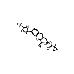 CC1(C(=O)OCCN(Cc2ccc(-c3noc(C(F)(F)F)n3)cc2)C(=O)C2(C#N)CC2)CC1